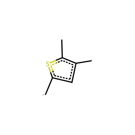 [CH2]c1cc(C)c(C)s1